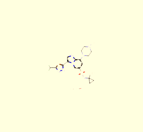 CCN1CCN(c2cc(S(=O)(=O)NC3(C)CC3)cn3c(-c4nnc(C(F)F)s4)cnc23)CC1.O=CO